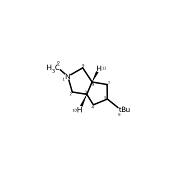 CN1C[C@H]2CC(C(C)(C)C)C[C@H]2C1